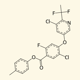 Cc1ccc(OC(=O)c2cc(Cl)c(Oc3cnc(C(C)(F)F)c(Cl)c3)cc2F)cc1